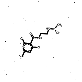 CB(O)NCCNC(=O)c1c(Cl)cc(Cl)nc1Cl